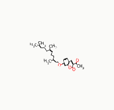 CC(=O)c1cc2ccc(OCC=C(C)CCC=C(C)CCC=C(C)C)cc2oc1=O